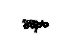 CC1(C)c2ccccc2-c2cc3[nH]c4cc5c6ccccc6sc5c5ccc(c21)c3c45